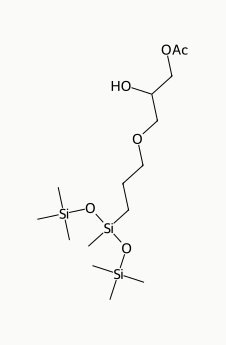 CC(=O)OCC(O)COCCC[Si](C)(O[Si](C)(C)C)O[Si](C)(C)C